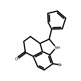 O=C1CCC2c3c1ccc(Br)c3NC2c1ccccc1